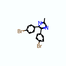 Cc1cnc(-c2ccc(Br)cc2)c(-c2ccc(Br)cc2)n1